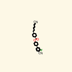 N#CC=CC=CCC[C@H]1CC[C@H](C(=O)O[C@H]2CC[C@H](c3ccc(C#N)c(F)c3)CC2)CC1